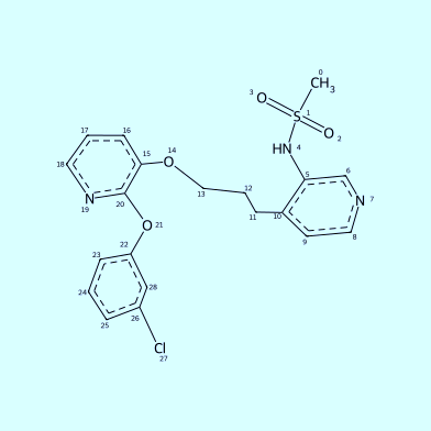 CS(=O)(=O)Nc1cnccc1CCCOc1cccnc1Oc1cccc(Cl)c1